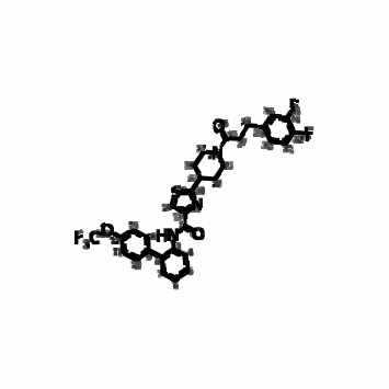 O=C(Nc1ccccc1-c1ccc(OC(F)(F)F)cc1)c1csc(C2CCN(C(=O)CCc3ccc(F)c(F)c3)CC2)n1